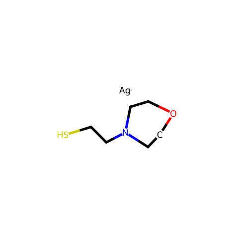 SCCN1CCOCC1.[Ag]